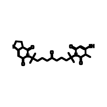 CC1C(=O)N(C(C)(C)CCCC(=O)CCCC(C)(C)N2C(=O)C=C3SCCC3C2=O)C(=O)C=C1S